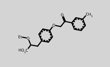 CCOC(Cc1ccc(OCC(=O)c2cccc(C)c2)cc1)C(=O)O